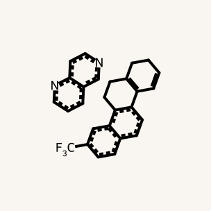 FC(F)(F)c1ccc2ccc3c(c2c1)CCC1=C3C=CCC1.c1cnc2ccncc2c1